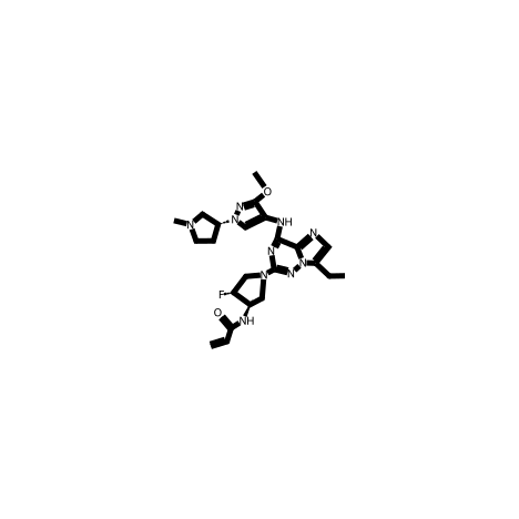 C=CC(=O)N[C@@H]1CN(c2nc(Nc3cn([C@@H]4CCN(C)C4)nc3OC)c3ncc(CC)n3n2)C[C@H]1F